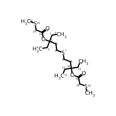 CCC(CC)(CCSCCC(CC)(CC)OC(=O)CSC)OC(=O)CSC